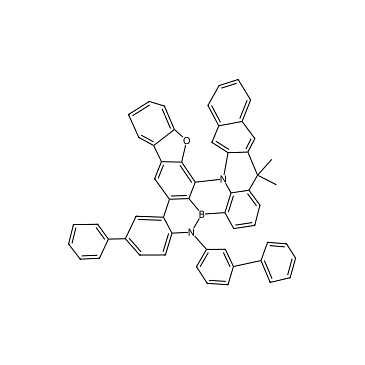 CC1(C)c2cc3ccccc3cc2N2c3c(cccc31)B1c3c(cc4c(oc5ccccc54)c32)-c2cc(-c3ccccc3)ccc2N1c1cccc(-c2ccccc2)c1